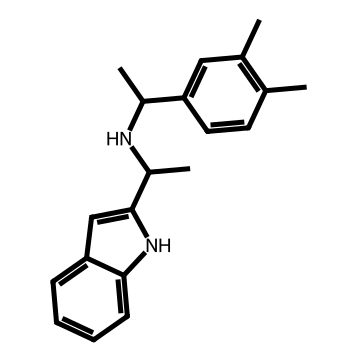 Cc1ccc(C(C)NC(C)c2cc3ccccc3[nH]2)cc1C